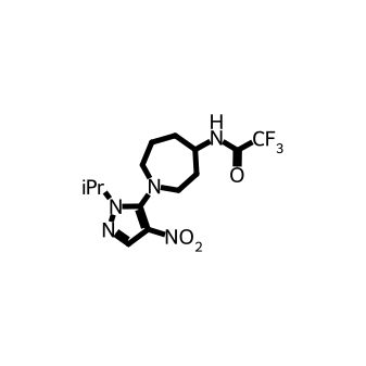 CC(C)n1ncc([N+](=O)[O-])c1N1CCCC(NC(=O)C(F)(F)F)CC1